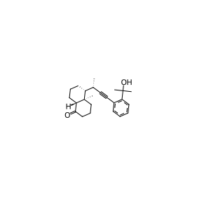 C[C@H](C#Cc1ccccc1C(C)(C)O)[C@H]1CCC[C@H]2C(=O)CCC[C@]12C